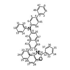 c1ccc(-c2ccc(N(c3ccccc3)c3ccc4ccc(-c5cccc6ccc7oc(-c8ccccc8)nc7c56)cc4c3)cc2)cc1